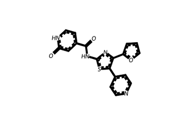 O=C(Nc1nc(-c2ccco2)c(-c2ccncc2)s1)c1cc[nH]c(=O)c1